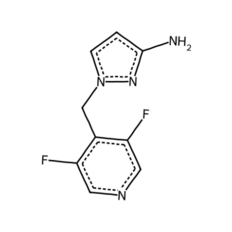 Nc1ccn(Cc2c(F)cncc2F)n1